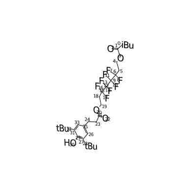 CCC(C)C(=O)OCCC(F)(F)C(F)(F)C(F)(F)C(F)(F)CCOC(=O)CCc1cc(C(C)(C)C)c(O)c(C(C)(C)C)c1